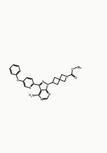 CC(C)(C)OC(=O)N1CC2(CC(n3nc(-c4ccc(Oc5ccccc5)cn4)c4c(N)ncnc43)C2)C1